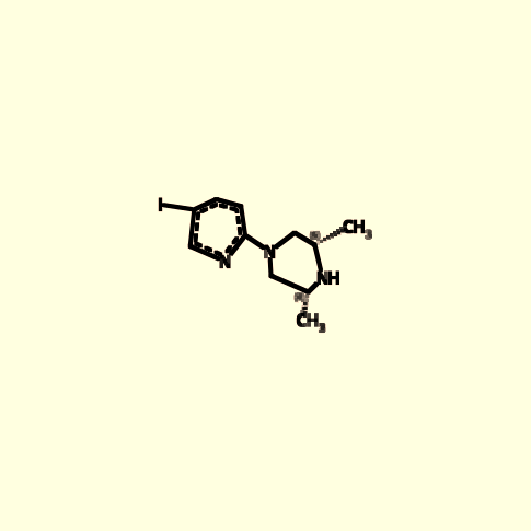 C[C@@H]1CN(c2ccc(I)cn2)C[C@H](C)N1